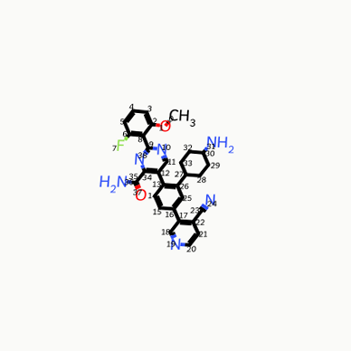 COc1cccc(F)c1-c1ncc(-c2ccc(-c3cnccc3C#N)cc2C2CCC(N)CC2)c(C(N)=O)n1